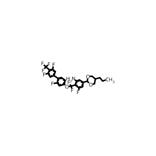 CCCC1COC(c2cc(N)c(C(F)(F)Oc3ccc(-c4cc(F)c(C(F)(F)F)c(F)c4)c(F)c3)c(F)c2)OC1